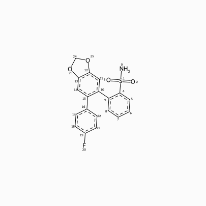 NS(=O)(=O)c1ccccc1-c1cc2c(cc1-c1ccc(F)cc1)OCO2